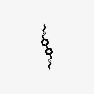 CCCOCc1ccc(-c2ccc(COCCC)cc2)cc1